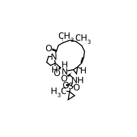 C[C@H]1CC/C=C\[C@@H]2C[C@@]2(C(=O)NS(=O)(=O)C2(C)CC2)NC(=O)[C@@H]2CCCN2C(=O)C[C@H](C)C1